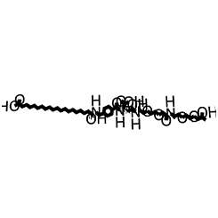 CC(O)COCCOCCNC(=O)COCCOCCN[C@H](O)C[C@@H](NC(=O)C1CCC(CN[C@H](O)CCCCCCCCCCCCCCCCCCC(=O)O)CC1)C(=O)O